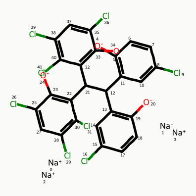 [Na+].[Na+].[Na+].[Na+].[O-]c1ccc(Cl)cc1C(c1cc(Cl)ccc1[O-])C(c1c([O-])c(Cl)cc(Cl)c1Cl)c1c([O-])c(Cl)cc(Cl)c1Cl